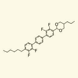 CCCCCCc1ccc(-c2ccc(-c3ccc(C4OCC(CCC)CO4)c(F)c3F)cc2)c(F)c1F